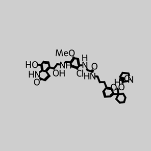 COc1cc(NCC(=O)NCCCc2cccc(C3(C(=O)O[C@H]4CN5CCC4CC5)CCCCC3)c2)c(Cl)cc1CNC[C@@H](O)c1ccc(O)c2[nH]c(=O)ccc12